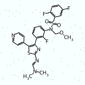 COCN(c1cccc(-c2nc(N=CN(C)C)sc2-c2ccncc2)c1F)S(=O)(=O)c1cc(F)ccc1F